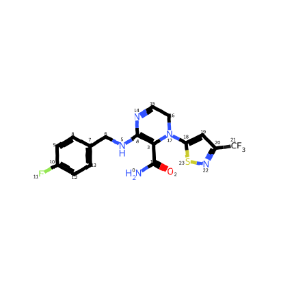 NC(=O)C1=C(NCc2ccc(F)cc2)N=CCN1c1cc(C(F)(F)F)ns1